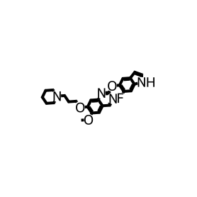 COc1cc2cnc(Oc3cc4cc[nH]c4cc3F)nc2cc1OCCCN1CCCCC1